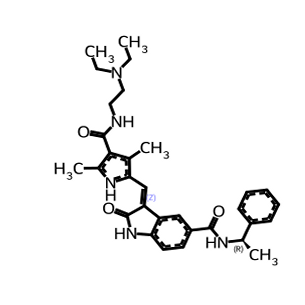 CCN(CC)CCNC(=O)c1c(C)[nH]c(/C=C2\C(=O)Nc3ccc(C(=O)N[C@H](C)c4ccccc4)cc32)c1C